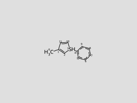 CC1=C[SH](c2[c]cccc2)C=C1